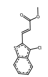 COC(=O)/C=C/c1sc2ccccc2c1Cl